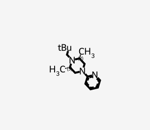 C[C@@H]1CN(c2ccccn2)C[C@H](C)N1CC(C)(C)C